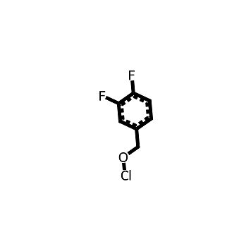 Fc1ccc(COCl)cc1F